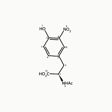 CC(=O)N[C@H](Cc1ccc(O)c([N+](=O)[O-])c1)C(=O)O